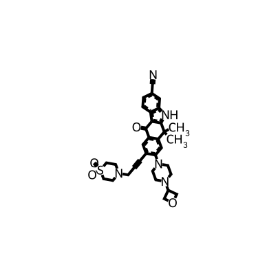 CC1(C)c2cc(N3CCN(C4COC4)CC3)c(C#CCN3CCS(=O)(=O)CC3)cc2C(=O)c2c1[nH]c1cc(C#N)ccc21